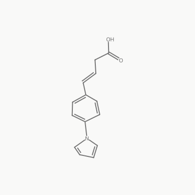 O=C(O)CC=Cc1ccc(-n2cccc2)cc1